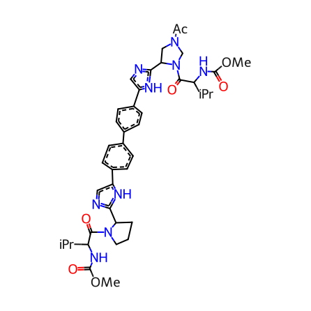 COC(=O)NC(C(=O)N1CCCC1c1ncc(-c2ccc(-c3ccc(-c4cnc(C5CN(C(C)=O)CN5C(=O)C(NC(=O)OC)C(C)C)[nH]4)cc3)cc2)[nH]1)C(C)C